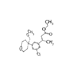 CCOC(=O)CC(C)c1cc(Cl)cc(C2(COC)CCOCC2)c1